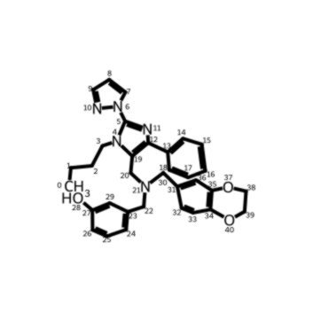 CCCCn1c(-n2cccn2)nc(-c2ccccc2)c1CN(Cc1cccc(O)c1)Cc1ccc2c(c1)OCCO2